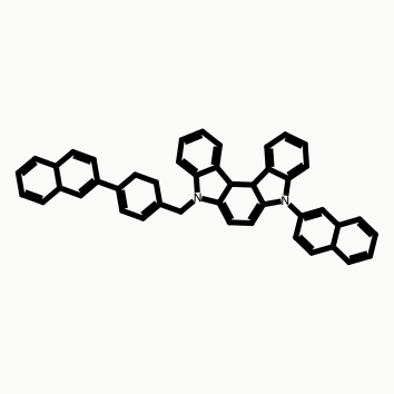 C1=CC2C=CC(C3=CC=C(CN4C5=CC=C6C(c7ccccc7N6C6=CC7C=CC=CC7C=C6)C5c5ccccc54)CC3)=CC2C=C1